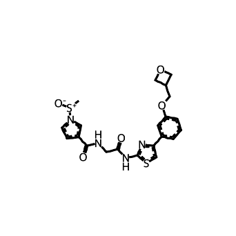 C[S+]([O-])n1ccc(C(=O)NCC(=O)Nc2nc(-c3cccc(OCC4COC4)c3)cs2)c1